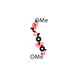 C=C(CCOC(=C)c1ccc(C(=O)Oc2ccc(OCOC)c(C)c2)cc1)OOOCOC